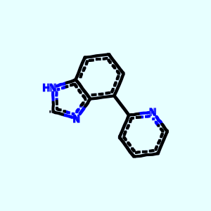 [c]1nc2c(-c3ccccn3)cccc2[nH]1